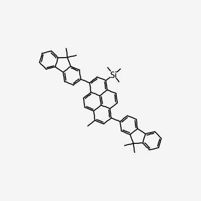 Cc1cc(-c2ccc3c(c2)C(C)(C)c2ccccc2-3)c2ccc3c([Si](C)(C)C)cc(-c4ccc5c(c4)C(C)(C)c4ccccc4-5)c4ccc1c2c43